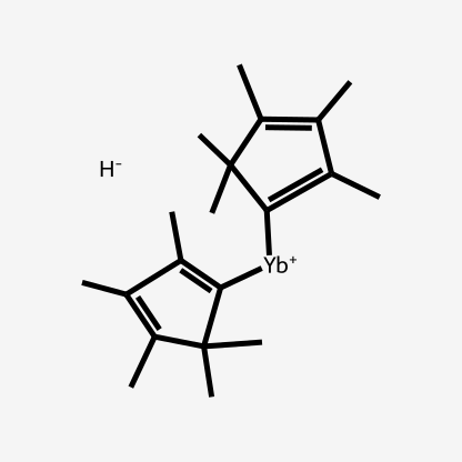 CC1=C(C)C(C)(C)[C]([Yb+][C]2=C(C)C(C)=C(C)C2(C)C)=C1C.[H-]